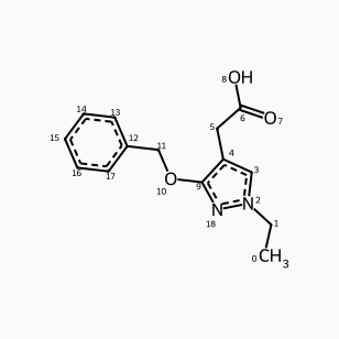 CCn1cc(CC(=O)O)c(OCc2ccccc2)n1